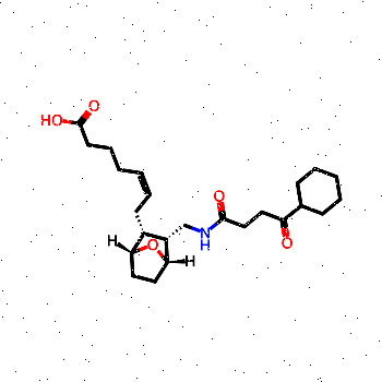 O=C(O)CCC/C=C\C[C@@H]1[C@H](CNC(=O)CCC(=O)C2CCCCC2)[C@@H]2CC[C@H]1O2